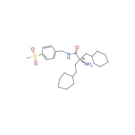 CS(=O)(=O)c1ccc(CNC(=O)[C@@](N)(CCC2CCCCC2)CC2CCCCC2)cc1